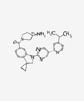 CC(C)c1ccnc(-c2cnc(N3CC4(CC4)c4ccc(C(=O)N5CC[C@@H](N)C5)cc43)nc2)c1